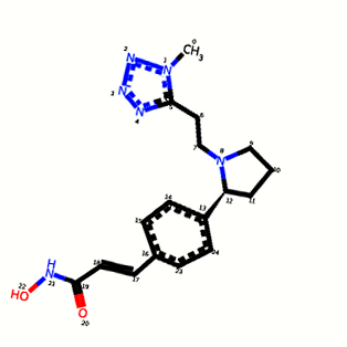 Cn1nnnc1CCN1CCC[C@H]1c1ccc(C=CC(=O)NO)cc1